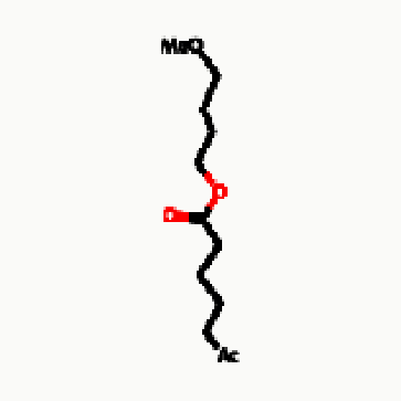 COCCCCOC(=O)CCCCC(C)=O